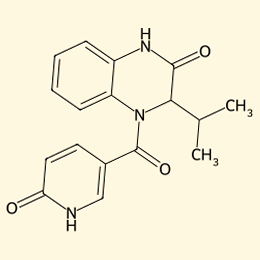 CC(C)C1C(=O)Nc2ccccc2N1C(=O)c1ccc(=O)[nH]c1